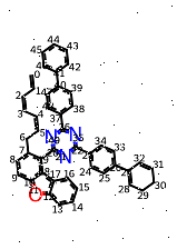 C=C/C=C\C=C/Cc1ccc2oc3ccccc3c2c1-c1nc(-c2ccc(C3=CCCC=C3)cc2)nc(-c2ccc(-c3ccccc3)cc2)n1